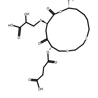 C[C@@H]1CCCCCCCCC[C@H](OC(=O)CCC(=O)O)C(=O)C[C@@H](SCC(O)C(=O)O)C(=O)O1